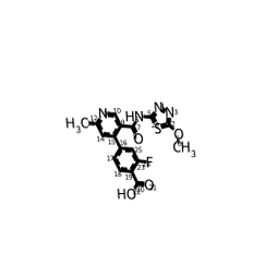 COc1nnc(NC(=O)c2cnc(C)cc2-c2ccc(C(=O)O)c(F)c2)s1